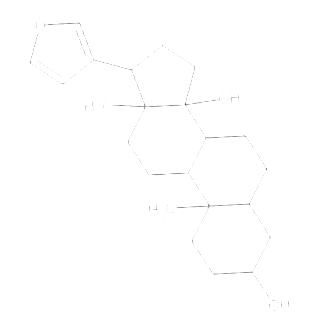 CC12CCC(O)CC1CCC1C2CCC2(C)C(c3ccoc3)CCC12O